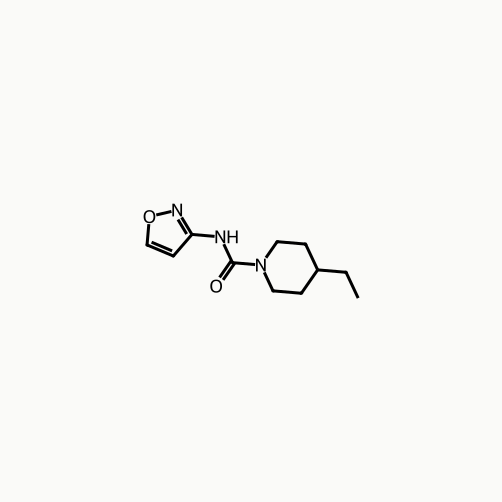 CCC1CCN(C(=O)Nc2ccon2)CC1